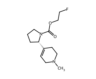 CN1CC=C([C@@H]2CCCN2C(=O)OCCF)CC1